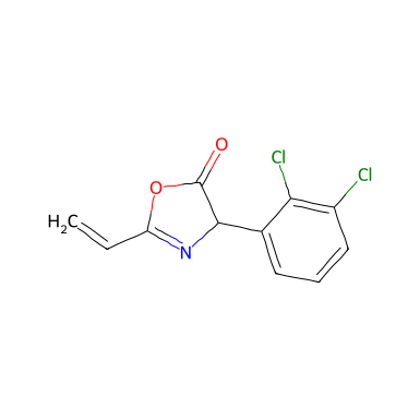 C=CC1=NC(c2cccc(Cl)c2Cl)C(=O)O1